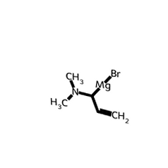 C=C[CH]([Mg][Br])N(C)C